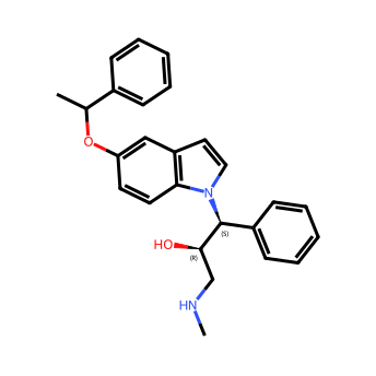 CNC[C@@H](O)[C@H](c1ccccc1)n1ccc2cc(OC(C)c3ccccc3)ccc21